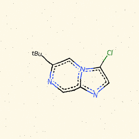 CC(C)(C)c1cn2c(Cl)cnc2cn1